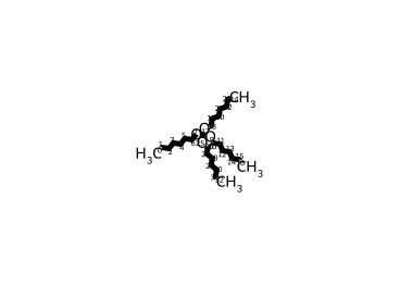 CCCCCCCOC(OCCCCCCC)(OCCCCCCC)OCCCCCCC